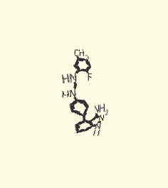 Cc1ccc(F)c(NCNc2ccc(-c3cccc4[nH]nc(N)c34)cc2)c1